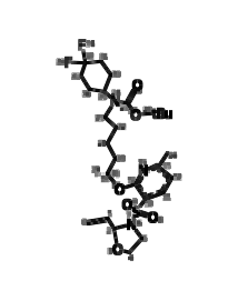 C=CC1OCCN1S(=O)(=O)c1ccc(C)nc1O[C@H](C)CCCCN(C(=O)OC(C)(C)C)C1CCC(F)(F)CC1